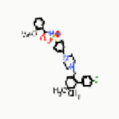 COc1ccccc1C(=O)NS(=O)(=O)c1ccc(N2CCN(CC3=C(c4ccc(Cl)cc4)CC(C)(C)CC3)CC2)cc1